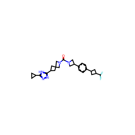 O=C(N1CC(c2ccc(C3CC(C(F)F)C3)cc2)C1)N1CC2(CC(c3nnc(C4CC4)[nH]3)C2)C1